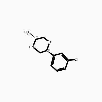 C[C@@H]1CO[C@@H](c2cccc(Cl)c2)CN1